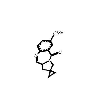 COc1ccc2c(c1)C(=O)N1CC3(CC3)CC1C=N2